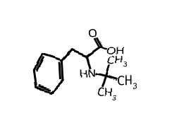 CC(C)(C)NC(Cc1ccccc1)C(=O)O